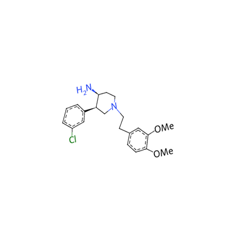 COc1ccc(CCN2CC[C@H](N)[C@H](c3cccc(Cl)c3)C2)cc1OC